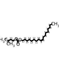 CCCCCCCC/C=C\CCCCCCCCOC(=O)OCCC(C)C